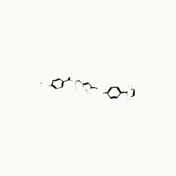 COc1ccc(C(=O)NCc2cc(COc3ccc(-c4ncc[nH]4)cc3)no2)cc1